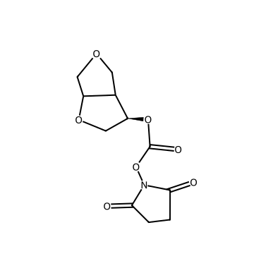 O=C(O[C@H]1COC2COCC21)ON1C(=O)CCC1=O